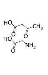 CC(=O)CC(=O)O.NCC(=O)O